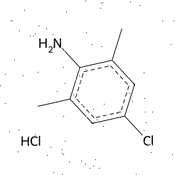 Cc1cc(Cl)cc(C)c1N.Cl